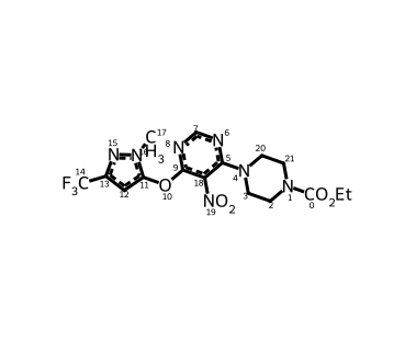 CCOC(=O)N1CCN(c2ncnc(Oc3cc(C(F)(F)F)nn3C)c2[N+](=O)[O-])CC1